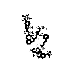 Cc1ncsc1-c1ccc([C@H](C)NC(=O)C2C[C@@H](O)CN2C(=O)[C@@H](NC(=O)CCCc2cccc(OC[C@H](CCC(N)=O)NC(=O)C3Cc4cccc5c4N3C(=O)[C@@H](NC(=O)c3cc4cc(C(=O)P(=O)(O)O)ccc4[nH]3)CC5)c2F)C(C)(C)C)cc1